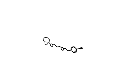 C#Cc1ccc(CCOCCCOC2CCCCO2)cc1